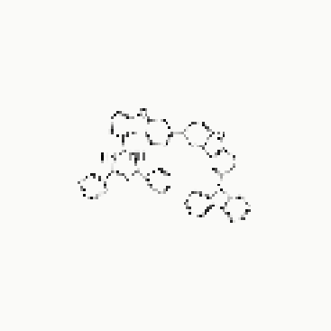 C1=c2oc3ccc(-n4c5ccccc5c5ccccc54)cc3c2=CC(c2ccc3c(c2)oc2cccc(C4NC(c5ccccc5)=NC(c5ccccc5)N4)c23)C1